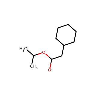 CC(C)OC([O])CC1CCCCC1